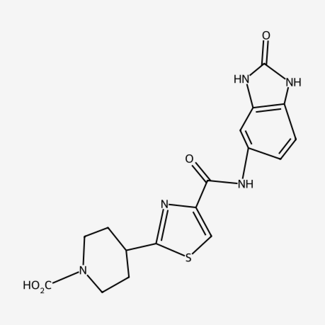 O=C(Nc1ccc2[nH]c(=O)[nH]c2c1)c1csc(C2CCN(C(=O)O)CC2)n1